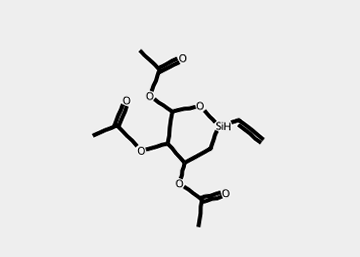 C=C[SiH]1CC(OC(C)=O)C(OC(C)=O)C(OC(C)=O)O1